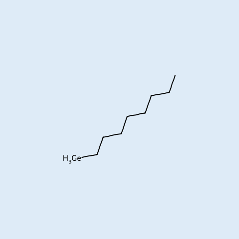 CCCCCCC[CH2][GeH3]